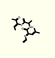 C=C/N=C(\C=C(C)C)C(=O)NC(C)C(=C)S/C(=C\C)C(C)=O